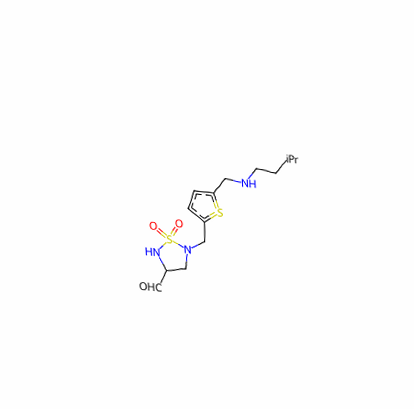 CC(C)CCNCc1ccc(CN2CC(C=O)NS2(=O)=O)s1